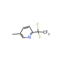 Cc1ccc(C(F)(F)C(F)(F)F)nc1